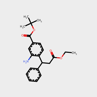 CCOC(=O)CC(c1ccccc1)c1ccc(C(=O)OC(C)(C)C)cc1N